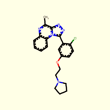 Cc1nc2ccccc2n2c(-c3cc(OCCN4CCCC4)ccc3Cl)nnc12